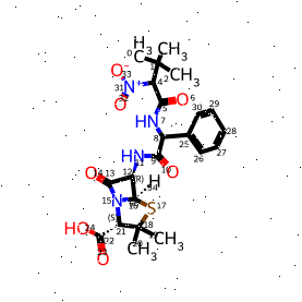 CC(C)(C)C(C(=O)NC(C(=O)N[C@@H]1C(=O)N2[C@@H]1SC(C)(C)[C@@H]2C(=O)O)c1ccccc1)[N+](=O)[O-]